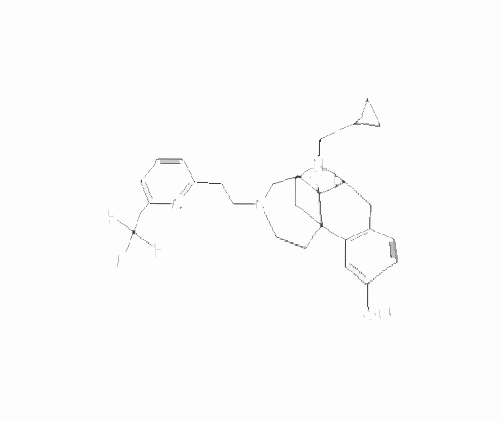 Oc1ccc2c(c1)C13CCN(CCc4cccc(C(F)(F)F)n4)CCC1(O)C(C2)N(CC1CC1)CC3